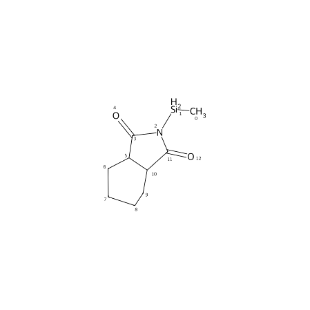 C[SiH2]N1C(=O)C2CCCCC2C1=O